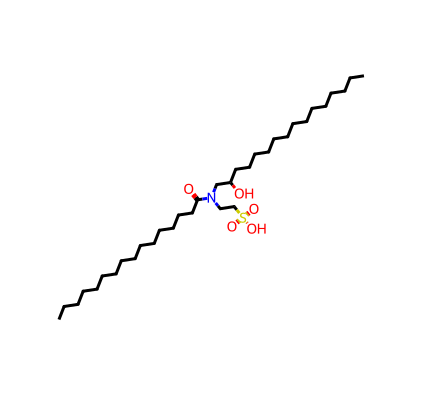 CCCCCCCCCCCCCCCC(=O)N(CCS(=O)(=O)O)CC(O)CCCCCCCCCCCCCC